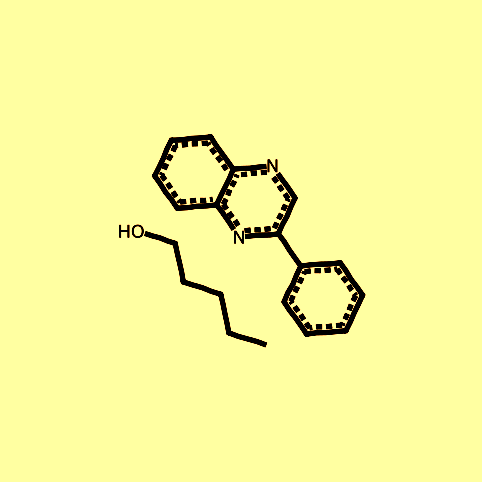 CCCCCO.c1ccc(-c2cnc3ccccc3n2)cc1